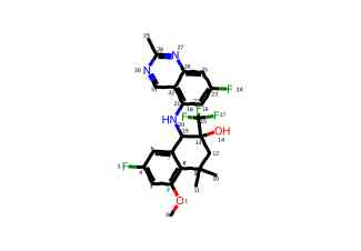 COc1cc(F)cc2c1C(C)(C)CC(O)(C(F)(F)F)C2Nc1cc(F)cc2nc(C)ncc12